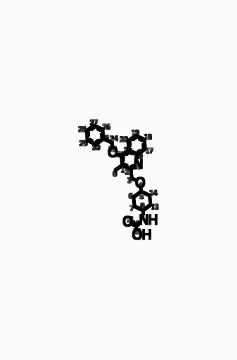 Cc1c(COC2CCC(NC(=O)O)CC2)nc2ccccc2c1OCc1ccccc1